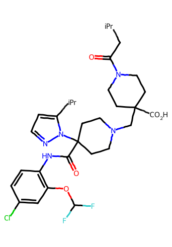 CC(C)CC(=O)N1CCC(CN2CCC(C(=O)Nc3ccc(Cl)cc3OC(F)F)(n3nccc3C(C)C)CC2)(C(=O)O)CC1